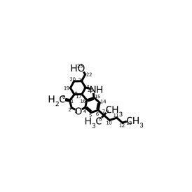 C=C1COc2cc(C(C)(C)CCCC)cc3c2C2C1CCC(CO)C2N3